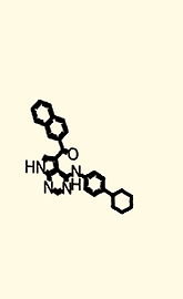 O=C(c1ccc2ccccc2c1)c1c[nH]c2ncnc(Nc3ccc(C4CCCCC4)cc3)c12